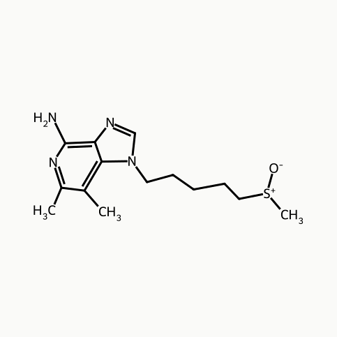 Cc1nc(N)c2ncn(CCCCC[S+](C)[O-])c2c1C